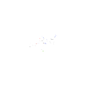 N#Cc1cccc(-c2nc(N)c(C(=O)NOCC3CC3)c(OCCF)n2)c1